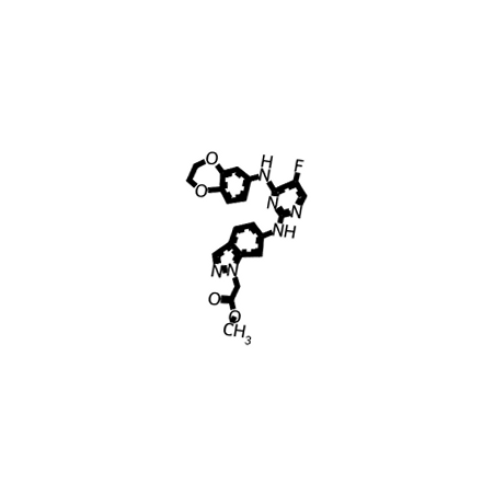 COC(=O)Cn1ncc2ccc(Nc3ncc(F)c(Nc4ccc5c(c4)OCCO5)n3)cc21